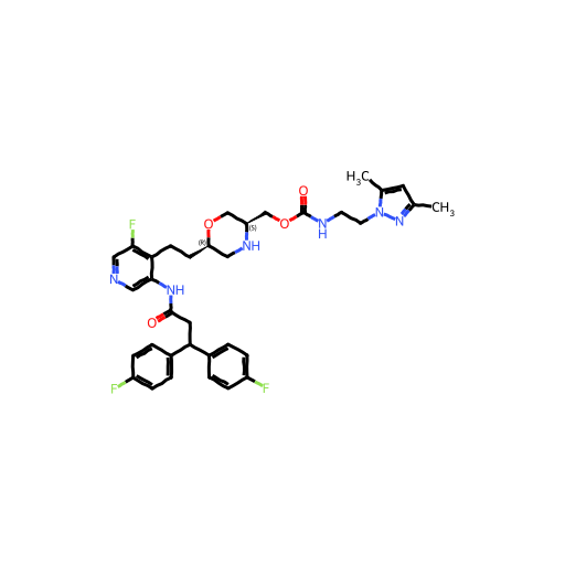 Cc1cc(C)n(CCNC(=O)OC[C@@H]2CO[C@H](CCc3c(F)cncc3NC(=O)CC(c3ccc(F)cc3)c3ccc(F)cc3)CN2)n1